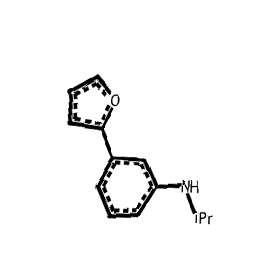 CC(C)Nc1cccc(-c2ccco2)c1